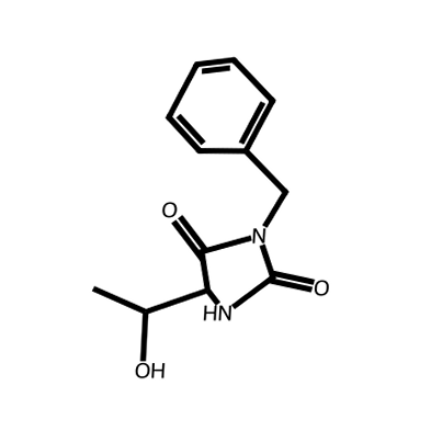 CC(O)C1NC(=O)N(Cc2ccccc2)C1=O